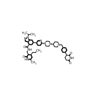 CCCc1cc(C)[nH]c(=O)c1CNC(=O)c1cc(-c2ccc(N3CCN(C4CCN(Cc5ccc(C6CCC(=O)NC6=O)cc5)CC4)CC3)nc2)cc2c1cnn2C(C)C